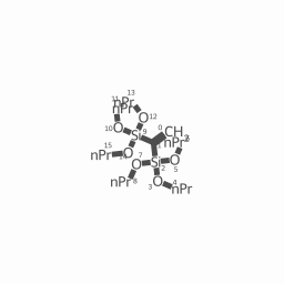 C=C([Si](OCCC)(OCCC)OCCC)[Si](OCCC)(OCCC)OCCC